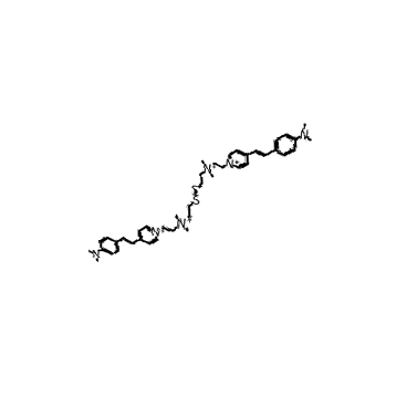 CN(C)c1ccc(/C=C/c2cc[n+](CC[N+](C)(C)CCSSCC[N+](C)(C)CC[n+]3ccc(/C=C/c4ccc(N(C)C)cc4)cc3)cc2)cc1